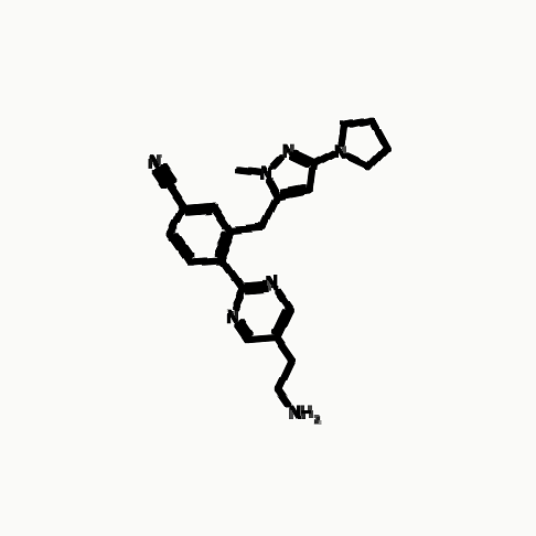 Cn1nc(N2CCCC2)cc1Cc1cc(C#N)ccc1-c1ncc(CCN)cn1